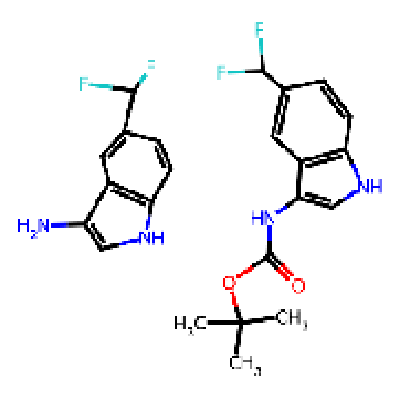 CC(C)(C)OC(=O)Nc1c[nH]c2ccc(C(F)F)cc12.Nc1c[nH]c2ccc(C(F)F)cc12